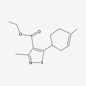 CCOC(=O)c1c(C)nsc1C1CC=C(C)CC1